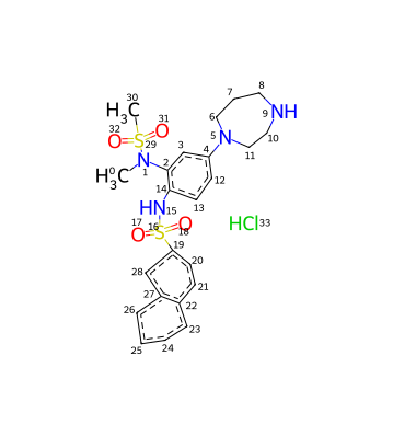 CN(c1cc(N2CCCNCC2)ccc1NS(=O)(=O)c1ccc2ccccc2c1)S(C)(=O)=O.Cl